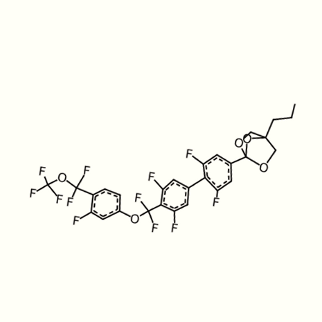 CCCC12COC(c3cc(F)c(-c4cc(F)c(C(F)(F)Oc5ccc(C(F)(F)OC(F)(F)F)c(F)c5)c(F)c4)c(F)c3)(OC1)O2